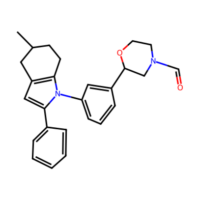 CC1CCc2c(cc(-c3ccccc3)n2-c2cccc(C3CN(C=O)CCO3)c2)C1